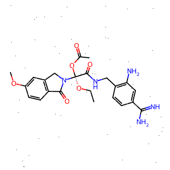 CCO[C@](OC(C)=O)(C(=O)NCc1ccc(C(=N)N)cc1N)N1Cc2cc(OC)ccc2C1=O